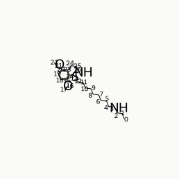 CCCNCCCCCCCCCS1=c2c(OC)ccc(OC)c2=CCN1